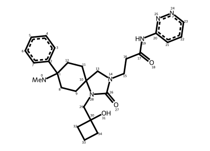 CNC1(c2ccccc2)CCC2(CC1)CN(CCC(=O)Nc1cccnn1)C(=O)N2CC1(O)CCC1